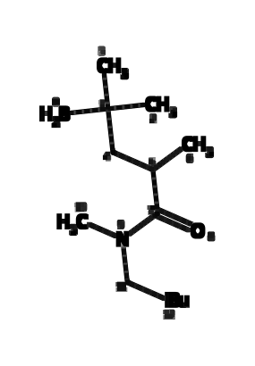 BC(C)(C)CC(C)C(=O)N(C)CC(C)CC